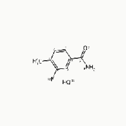 Cc1ccc(C(N)=O)cc1F.Cl